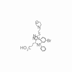 O=C(O)CC[C@@H]1N=C(c2ccccc2)c2cc(Br)ccc2-n2c(SCCN3CCOCC3)nnc21